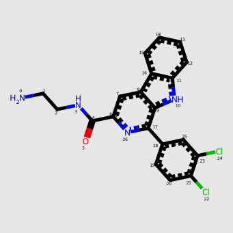 NCCNC(=O)c1cc2c([nH]c3ccccc32)c(-c2ccc(Cl)c(Cl)c2)n1